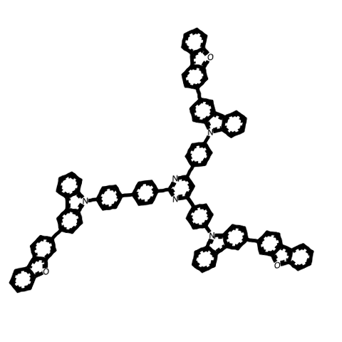 c1ccc2c(c1)oc1cc(-c3ccc4c(c3)c3ccccc3n4-c3ccc(-c4ccc(-c5nc(-c6ccc(-n7c8ccccc8c8cc(-c9ccc%10c(c9)oc9ccccc9%10)ccc87)cc6)cc(-c6ccc(-n7c8ccccc8c8cc(-c9ccc%10c(c9)oc9ccccc9%10)ccc87)cc6)n5)cc4)cc3)ccc12